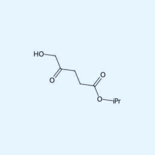 CC(C)OC(=O)CCC(=O)CO